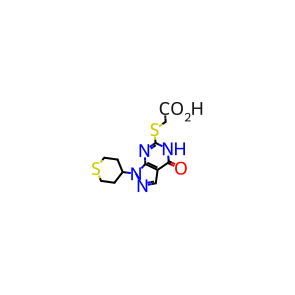 O=C(O)CSc1nc2c(cnn2C2CCSCC2)c(=O)[nH]1